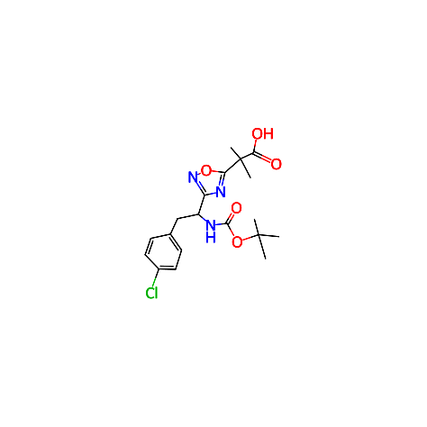 CC(C)(C)OC(=O)NC(Cc1ccc(Cl)cc1)c1noc(C(C)(C)C(=O)O)n1